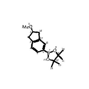 CO[C@@H]1Cc2ccc(B3OC(C)(C)C(C)(C)O3)cc2C1